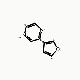 c1ccoc1.c1cnccn1